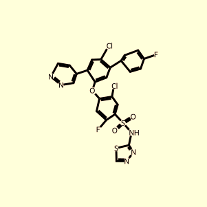 O=S(=O)(Nc1nncs1)c1cc(Cl)c(Oc2cc(-c3ccc(F)cc3)c(Cl)cc2-c2ccnnc2)cc1F